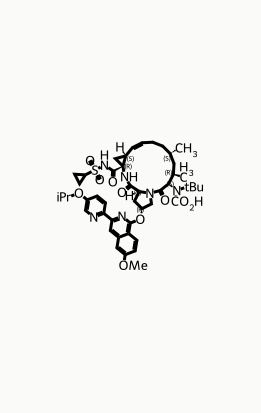 COc1ccc2c(O[C@@H]3C[C@H]4C(=O)N[C@]5(C(=O)NS(=O)(=O)C6CC6)C[C@H]5C=CCC[C@H](C)C[C@@H](C)[C@H](N(C(=O)O)C(C)(C)C)C(=O)N4C3)nc(-c3ccc(OC(C)C)cn3)cc2c1